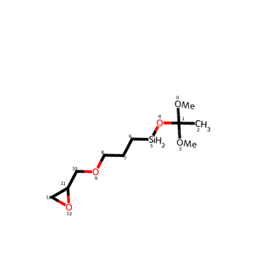 COC(C)(OC)O[SiH2]CCCOCC1CO1